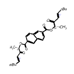 CCCC/C=C/C(=O)[C@H](C)OC(=O)c1ccc2cc(C(=O)O[C@@H](C)C(=O)/C=C/CCCC)ccc2c1